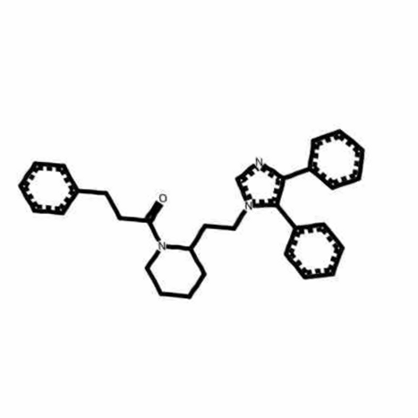 O=C(CCc1ccccc1)N1CCCCC1CCn1cnc(-c2ccccc2)c1-c1ccccc1